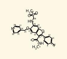 CNC(=O)c1c(-c2ccc(F)cc2)oc2cc(NCS(C)(=O)=O)c(OCc3ccncc3)cc12